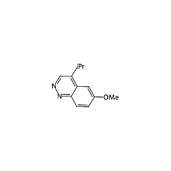 COc1ccc2nncc(C(C)C)c2c1